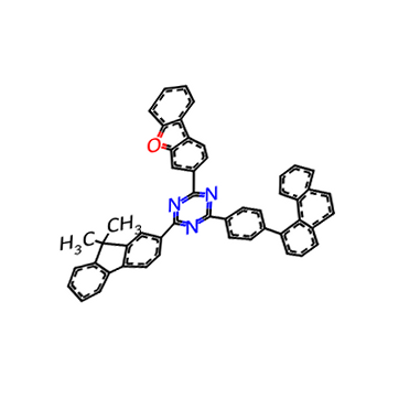 CC1(C)c2ccccc2-c2ccc(-c3nc(-c4ccc(-c5cccc6ccc7ccccc7c56)cc4)nc(-c4ccc5c(c4)oc4ccccc45)n3)cc21